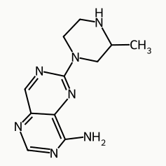 CC1CN(c2ncc3ncnc(N)c3n2)CCN1